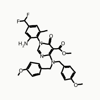 COC(=O)c1c(N(Cc2ccc(OC)cc2)Cc2ccc(OC)cc2)ncn(-c2c(C)cc(C(F)F)cc2N)c1=O